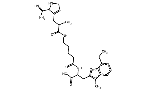 CCc1cccc2c(C)c(CC(NC(=O)CCCCNC(=O)C([AsH2])CC3=CCNC3C(=N)N)C(=O)O)oc12